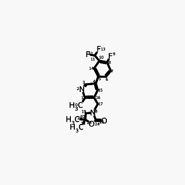 Cc1ncc(-c2ccc(F)c(C(F)F)c2)cc1CN1CC(C)(C)OC1=O